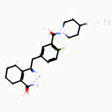 O=C(O)C1CCN(C(=O)c2cc(Cc3n[nH]c(=O)c4c3CCCC4)ccc2F)CC1